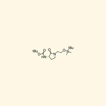 CC(C)(C)OC(=O)N[C@H]1CCN(CCO[Si](C)(C)C(C)(C)C)C1=O